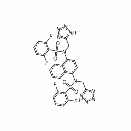 O=S(=O)(c1c(F)cccc1F)N(Cc1nnn[nH]1)c1ccc(N(Cc2nnn[nH]2)S(=O)(=O)c2c(F)cccc2F)c2ccccc12